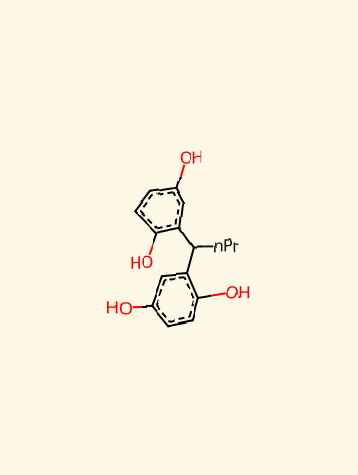 CCCC(c1cc(O)ccc1O)c1cc(O)ccc1O